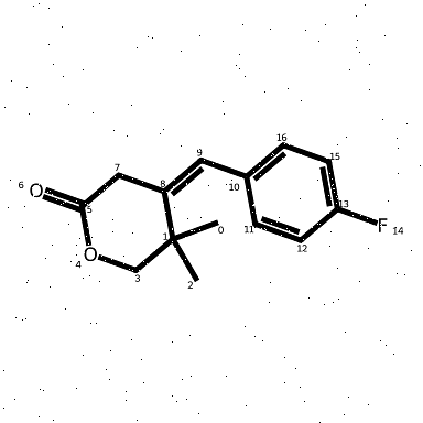 CC1(C)COC(=O)CC1=Cc1ccc(F)cc1